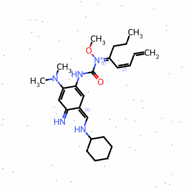 C=C/C=C\C(CCC)=[N+](\OC)C(=O)NC1=C/C(=C/NC2CCCCC2)C(=N)C=C1N(C)C